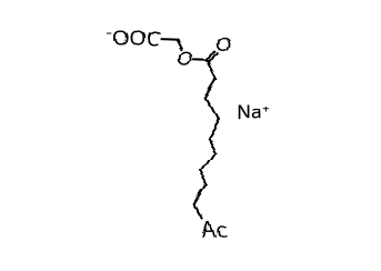 CC(=O)CCCCCCCCC(=O)OCC(=O)[O-].[Na+]